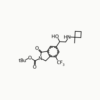 CC1(NCC(O)c2cc3c(c(C(F)(F)F)c2)CN(C(=O)OC(C)(C)C)C3=O)CCC1